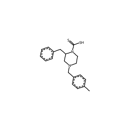 Cc1ccc(CN2CCN(C(=S)S)C(Cc3ccccc3)C2)cc1